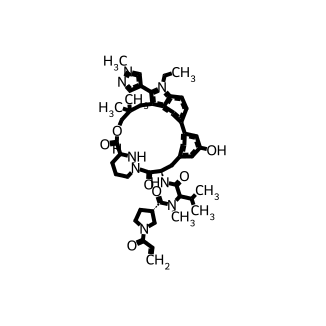 C=CC(=O)N1CC[C@H](C(=O)N(C)C(C(=O)N[C@H]2Cc3cc(O)cc(c3)-c3ccc4c(c3)c(c(-c3cnn(C)c3)n4CC)CC(C)(C)COC(=O)[C@@H]3CCCN(N3)C2=O)C(C)C)C1